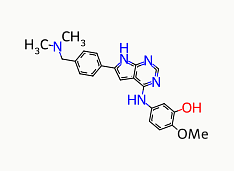 COc1ccc(Nc2ncnc3[nH]c(-c4ccc(CN(C)C)cc4)cc23)cc1O